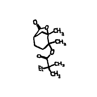 CCC(C)(C)C(=O)OC1(C)CCC2CC1(C)OC2=O